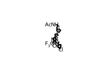 CC(=O)NC(C)CN1CCC[C@H](C2CN(c3cnc4c(C(F)(F)F)nn(C(C)c5ccc(Cl)cc5Cl)c4n3)C2)C1